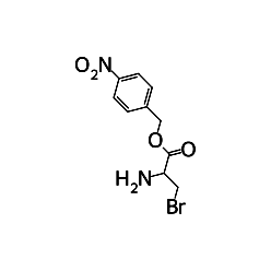 NC(CBr)C(=O)OCc1ccc([N+](=O)[O-])cc1